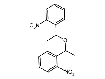 CC(OC(C)c1ccccc1[N+](=O)[O-])c1ccccc1[N+](=O)[O-]